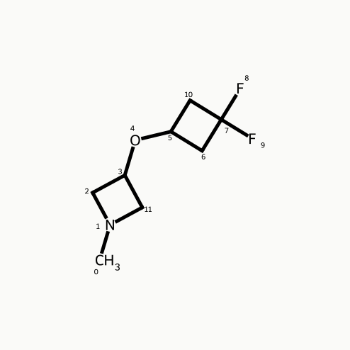 CN1CC(OC2CC(F)(F)C2)C1